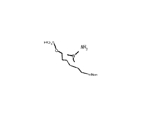 CCCCCCCCCCCCCCCOS(=O)(=O)O.CN(C)C.N